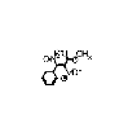 COC(=O)C(=C(C1C=CC=CC1)[N+](=O)[O-])[N+](=O)[O-]